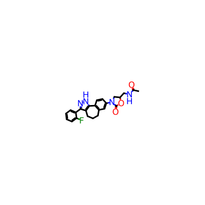 CC(=O)NCC1CN(c2ccc3c(c2)CCCc2c(-c4ccccc4F)n[nH]c2-3)C(=O)O1